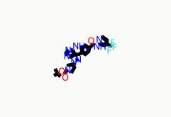 CC(C)(C)OC(=O)N1CC[C@@H](n2nc(-c3ccc(C(=O)Nc4cc(C(F)(F)F)ccn4)cc3)c3c(N)ncnc32)C1